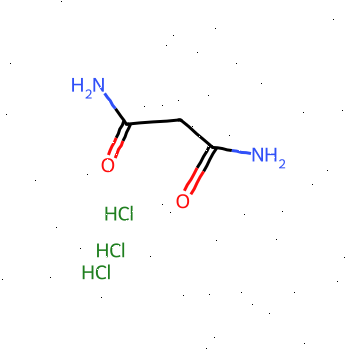 Cl.Cl.Cl.NC(=O)CC(N)=O